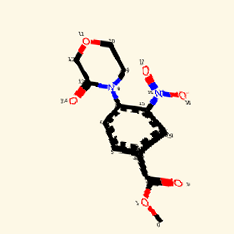 COC(=O)c1ccc(N2CCOCC2=O)c([N+](=O)[O-])c1